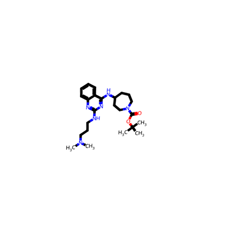 CN(C)CCCNc1nc(NC2CCCN(C(=O)OC(C)(C)C)CC2)c2ccccc2n1